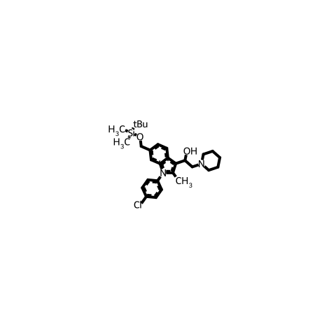 Cc1c(C(O)CN2CCCCC2)c2ccc(CO[Si](C)(C)C(C)(C)C)cc2n1-c1ccc(Cl)cc1